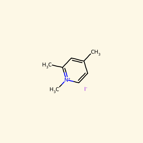 Cc1cc[n+](C)c(C)c1.[I-]